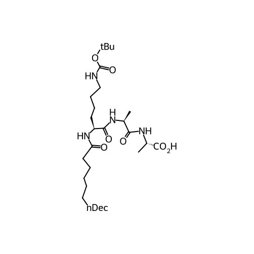 CCCCCCCCCCCCCCCC(=O)N[C@@H](CCCCNC(=O)OC(C)(C)C)C(=O)N[C@@H](C)C(=O)N[C@@H](C)C(=O)O